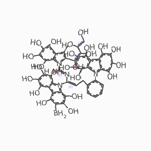 Bc1c(O)c(O)c2c(c1O)c1c(O)c(O)c(O)c(O)c1n2C(=C/Cc1ccccc1-n1c2c(O)c(O)c(O)c(O)c2c2c(O)c(O)c(O)c(O)c21)/N=C(\N)n1c(/C(O)=C(O)\C(O)=C\O)c(C)c2c(O)c(O)c(O)c(O)c21